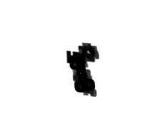 C=CS(=O)(=O)N1CCN(C(=O)CNc2ccccc2)CC1